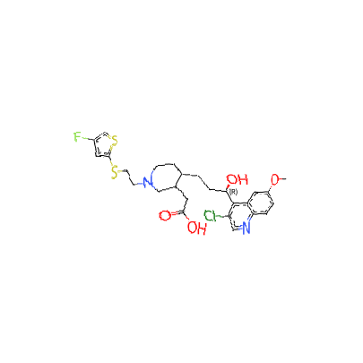 COc1ccc2ncc(Cl)c([C@H](O)CCC3CCN(CCSc4cc(F)cs4)CC3CC(=O)O)c2c1